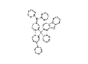 c1ccc(-c2ccc3c(c2)C2(c4cc(N(c5ccccc5)c5ccccc5)ccc4-3)c3ccccc3-c3c2ccc2c3oc3ccccc32)cc1